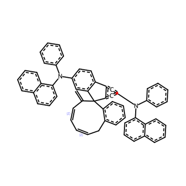 C=C1/C=C\C=C/Cc2ccccc2C12c1cc(N(c3ccccc3)c3cccc4ccccc34)ccc1-c1ccc(N(c3ccccc3)c3cccc4ccccc34)cc12